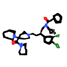 CN(C[C@@H](CCN1CCC(C(=O)N2CCCCC2)(N2CCCCC2)CC1)c1ccc(Cl)c(Cl)c1)C(=O)c1ccccc1